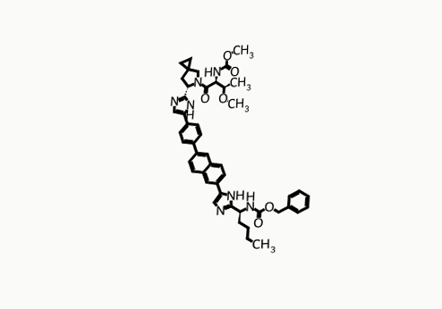 CCCC[C@H](NC(=O)OCc1ccccc1)c1ncc(-c2ccc3cc(-c4ccc(-c5cnc([C@@H]6CC7(CC7)CN6C(=O)[C@@H](NC(=O)OC)[C@@H](C)OC)[nH]5)cc4)ccc3c2)[nH]1